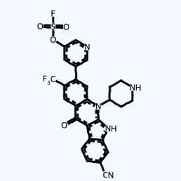 N#Cc1ccc2c(c1)[nH]c1c2c(=O)c2cc(C(F)(F)F)c(-c3cncc(OS(=O)(=O)F)c3)cc2n1C1CCNCC1